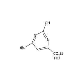 CCOC(=O)c1cc(C(C)(C)C)nc(O)n1.Cl